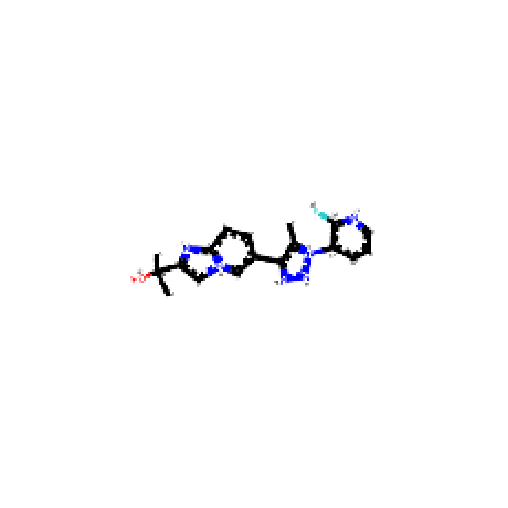 Cc1c(-c2ccc3nc(C(C)(C)O)cn3c2)nnn1-c1cccnc1F